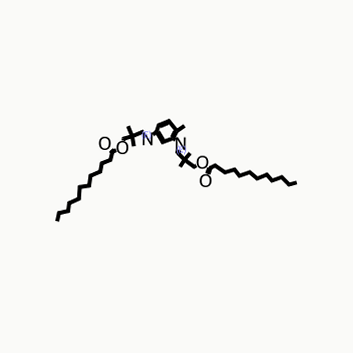 CCCCCCCCCCCC(=O)OCC(C)(C)/C=N/c1ccc(C)c(/N=C/C(C)(C)COC(=O)CCCCCCCCCCC)c1